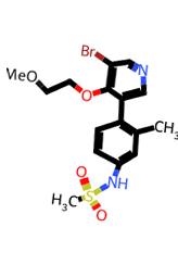 COCCOc1c(Br)cncc1-c1ccc(NS(C)(=O)=O)cc1C